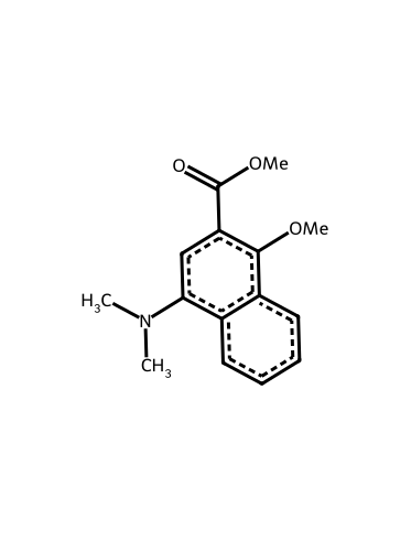 COC(=O)c1cc(N(C)C)c2ccccc2c1OC